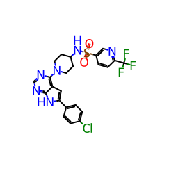 O=S(=O)(NC1CCN(c2ncnc3[nH]c(-c4ccc(Cl)cc4)cc23)CC1)c1ccc(C(F)(F)F)nc1